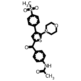 CC(=O)Nc1ccc(C(=O)c2cc(-c3ccc(S(C)(=O)=O)cc3)c(N3CCOCC3)s2)cc1